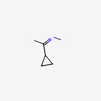 CC/C(=N/OC)C1CC1